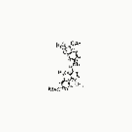 COc1ccc(-c2c(C)ccc(CNc3ccc4c(c3)OC(C)[C@H]4OC(C)=O)c2C)cn1